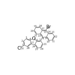 Clc1ccc2oc3c(-c4c5ccccc5c(Br)c5ccccc45)cccc3c2c1